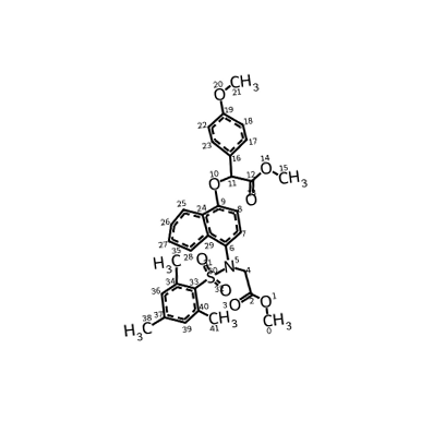 COC(=O)CN(c1ccc(OC(C(=O)OC)c2ccc(OC)cc2)c2ccccc12)S(=O)(=O)c1c(C)cc(C)cc1C